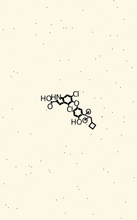 O=C(O)c1cc2c(Cl)c(Oc3ccc(O)c(S(=O)(=O)CC4CCC4)c3)c(Cl)cc2[nH]1